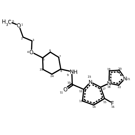 COCCOC1CCC(NC(=O)c2ccc(F)c(-n3ccnc3)n2)CC1